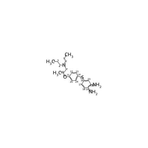 CCCN(CCC)CC(C)Oc1ccc(Sc2ccc(N)c(N)c2)cc1